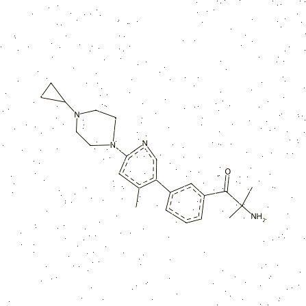 Cc1cc(N2CCN(C3CC3)CC2)ncc1-c1cccc(C(=O)C(C)(C)N)c1